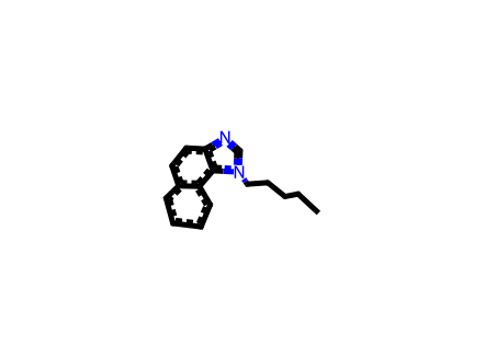 CCCCCn1cnc2ccc3ccccc3c21